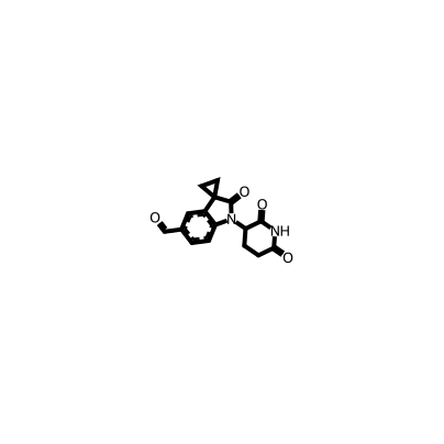 O=Cc1ccc2c(c1)C1(CC1)C(=O)N2C1CCC(=O)NC1=O